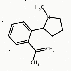 C=C(C)c1ccccc1C1CCCN1C